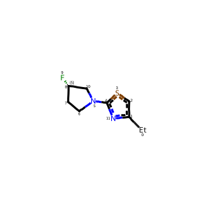 CCc1csc(N2CC[C@H](F)C2)n1